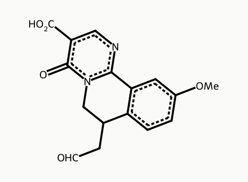 COc1ccc2c(c1)-c1ncc(C(=O)O)c(=O)n1CC2CC=O